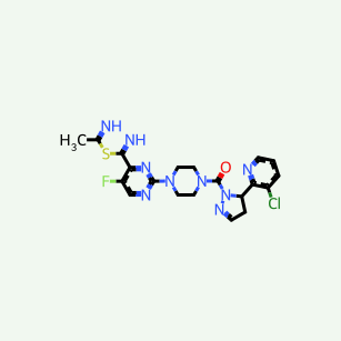 CC(=N)SC(=N)c1nc(N2CCN(C(=O)N3N=CCC3c3ncccc3Cl)CC2)ncc1F